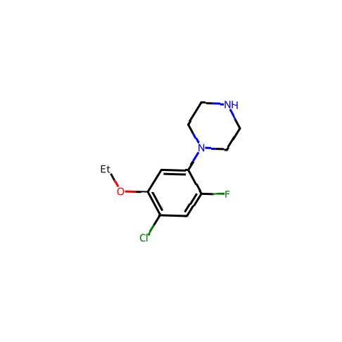 CCOc1cc(N2CCNCC2)c(F)cc1Cl